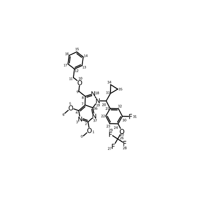 COc1nc(OC)c2c(COCc3ccccc3)nn(C(c3ccc(OC(F)(F)F)c(F)c3)C3CC3)c2n1